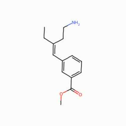 CCC(=Cc1cccc(C(=O)OC)c1)CCN